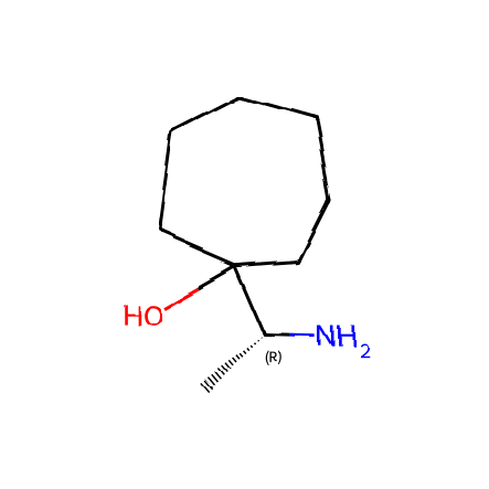 C[C@@H](N)C1(O)CCCCCC1